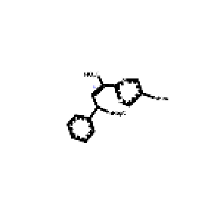 CCCCCCCC(/C=C(/C(=O)O)c1ncc(CCCCCC)cn1)c1ccccc1